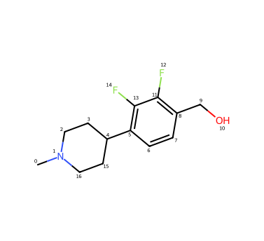 CN1CCC(c2ccc(CO)c(F)c2F)CC1